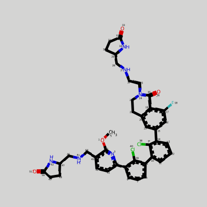 COc1nc(-c2cccc(-c3cccc(-c4cc(F)c5c(c4)CCN(CCNCC4CCC(=O)N4)C5=O)c3Cl)c2Cl)ccc1CNCC1CCC(=O)N1